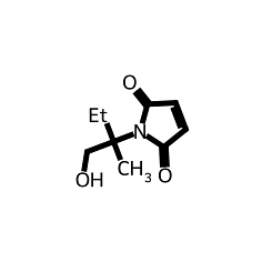 CCC(C)(CO)N1C(=O)C=CC1=O